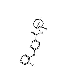 O=C(N[C@H]1CN2CCC1CC2)c1ccc(Oc2ccncc2Cl)cc1